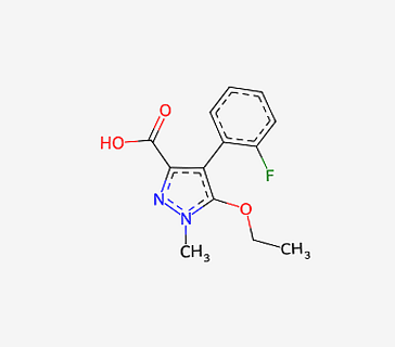 CCOc1c(-c2ccccc2F)c(C(=O)O)nn1C